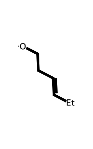 CC/C=C/CC[O]